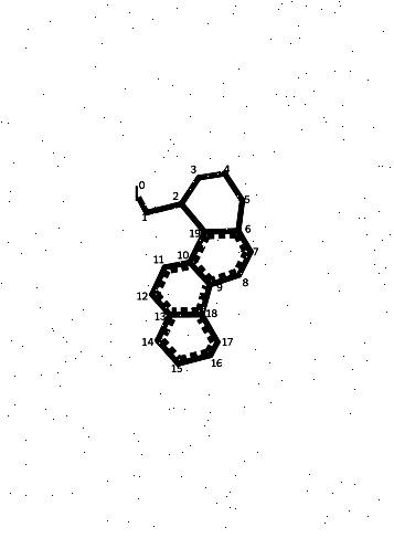 ICC1CCCc2ccc3c(ccc4ccccc43)c21